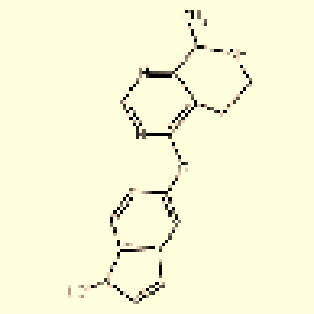 CC1NCCc2c(Oc3ccc4c(ccn4C)c3)ncnc21